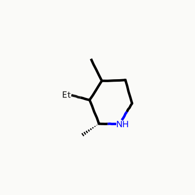 CCC1C(C)CCN[C@@H]1C